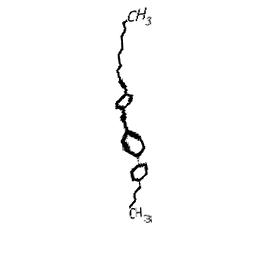 CCCCCCCCC#Cc1ccc(C#Cc2ccc([C@H]3CC[C@H](CCCCC)CC3)cc2)cc1